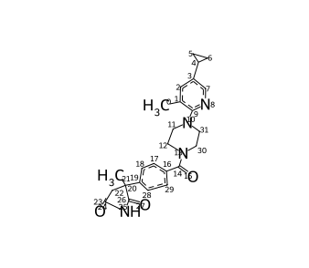 Cc1cc(C2CC2)cnc1N1CCN(C(=O)c2ccc(C3(C)CC(=O)NC3=O)cc2)CC1